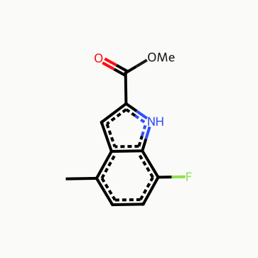 COC(=O)c1cc2c(C)ccc(F)c2[nH]1